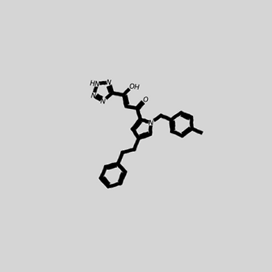 Cc1ccc(Cn2cc(CCc3ccccc3)cc2C(=O)C=C(O)c2nn[nH]n2)cc1